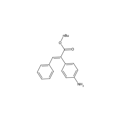 CCCCOC(=O)C(=Cc1ccccc1)c1ccc(N)cc1